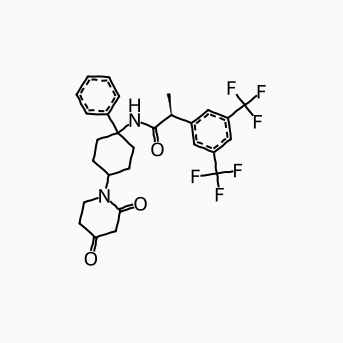 C[C@H](C(=O)NC1(c2ccccc2)CCC(N2CCC(=O)CC2=O)CC1)c1cc(C(F)(F)F)cc(C(F)(F)F)c1